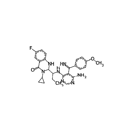 CCC(Nc1ncnc(N)c1C(=N)c1ccc(OC)cc1)C1Nc2ccc(F)cc2C(=O)N1C1CC1